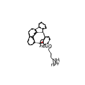 CCCCC(=O)c1cccc2ccc3c(c12)C(c1ccc(OCCCNCCC)cc1)c1ccccc1-3